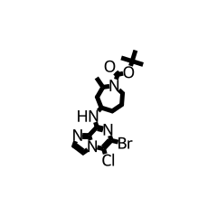 CC1CC(Nc2nc(Br)c(Cl)n3ccnc23)CCCN1C(=O)OC(C)(C)C